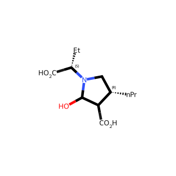 CCC[C@H]1CN([C@@H](CC)C(=O)O)C(O)C1C(=O)O